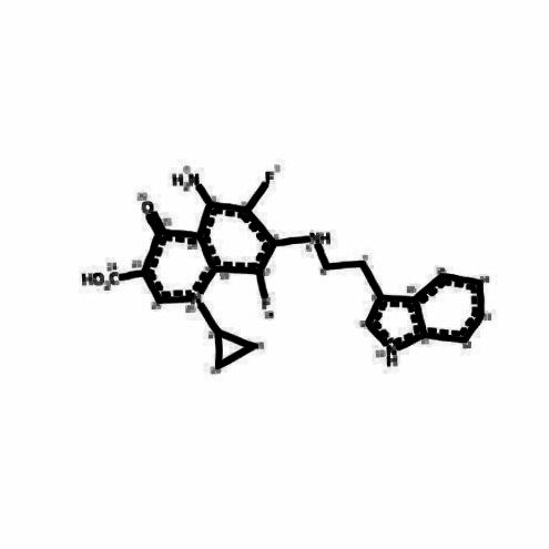 Nc1c(F)c(NCCc2c[nH]c3ccccc23)c(F)c2c1c(=O)c(C(=O)O)cn2C1CC1